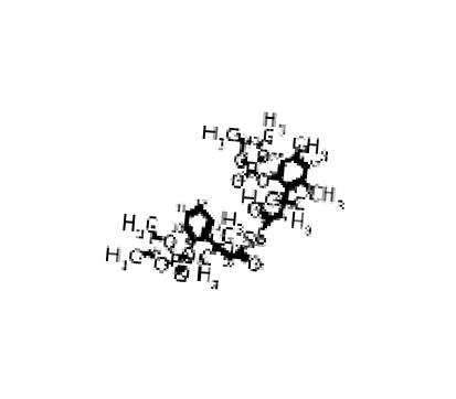 CCOP(=O)(OCC)Oc1ccccc1C(C)(C)CC(=O)SSC(=O)CC(C)(C)c1c(C)cc(C)cc1OP(=O)(OCC)OCC